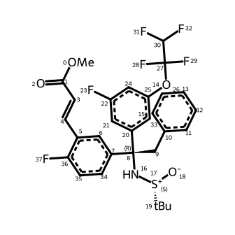 COC(=O)C=Cc1cc([C@@](Cc2ccccc2)(N[S@+]([O-])C(C)(C)C)c2cc(F)cc(OC(F)(F)C(F)F)c2)ccc1F